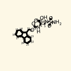 NS(=O)(=O)NC[C@H](NC(=O)OCC1c2ccccc2-c2ccccc21)C(=O)O